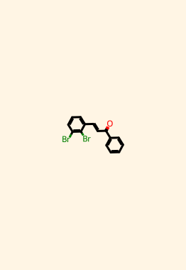 O=C(C=Cc1cccc(Br)c1Br)c1ccccc1